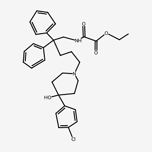 CCOC(=O)C(=O)NCC(CCCN1CCC(O)(c2ccc(Cl)cc2)CC1)(c1ccccc1)c1ccccc1